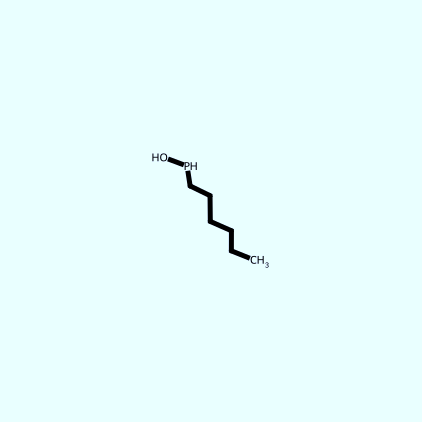 CCCCCCPO